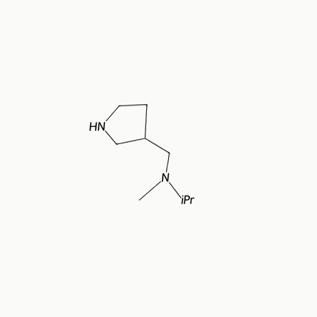 CC(C)N(C)CC1CCNC1